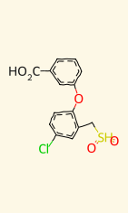 O=C(O)c1cccc(Oc2ccc(Cl)cc2C[SH](=O)=O)c1